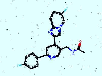 CC(=O)NCc1cnc(-c2ccc(F)cc2)cc1-c1cn2cc(F)ccc2n1